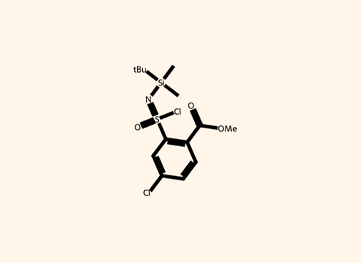 COC(=O)c1ccc(Cl)cc1S(=O)(Cl)=N[Si](C)(C)C(C)(C)C